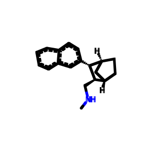 CNC[C@@H]1[C@H]2CC[C@@H](C2)[C@H]1c1ccc2ccccc2c1